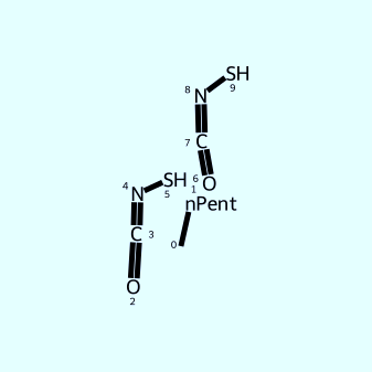 CCCCCC.O=C=NS.O=C=NS